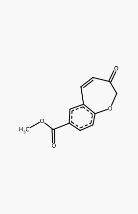 COC(=O)c1ccc2c(c1)C=CC(=O)CO2